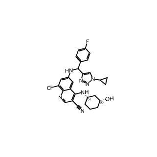 N#Cc1cnc2c(Cl)cc(NC(c3ccc(F)cc3)c3cn(C4CC4)nn3)cc2c1N[C@H]1CCC[C@@H](O)C1